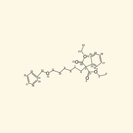 CCOC(=O)C(CCCCCCOCc1ccccc1)(C(=O)OCC)c1ccccc1